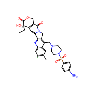 CC[C@@]1(O)C(=O)OCc2c1cc1n(c2=O)Cc2c-1nc1cc(F)c(C)cc1c2CN1CCN(S(=O)(=O)c2ccc(N)cc2)CC1